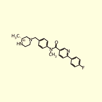 C[C@@H]1CN(Cc2ccc(N(C)C(=O)c3ccc(-c4ccc(F)cc4)nc3)cc2)CCN1